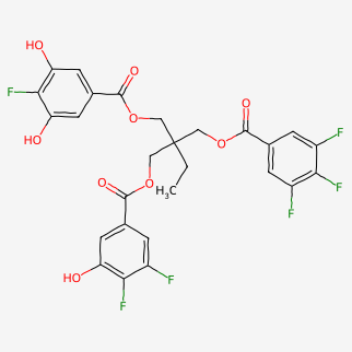 CCC(COC(=O)c1cc(O)c(F)c(O)c1)(COC(=O)c1cc(O)c(F)c(F)c1)COC(=O)c1cc(F)c(F)c(F)c1